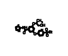 CCS(=O)(=O)c1ccc(Oc2cc(OC(C)CO)cc(C(=O)Nc3nccs3)c2)cn1